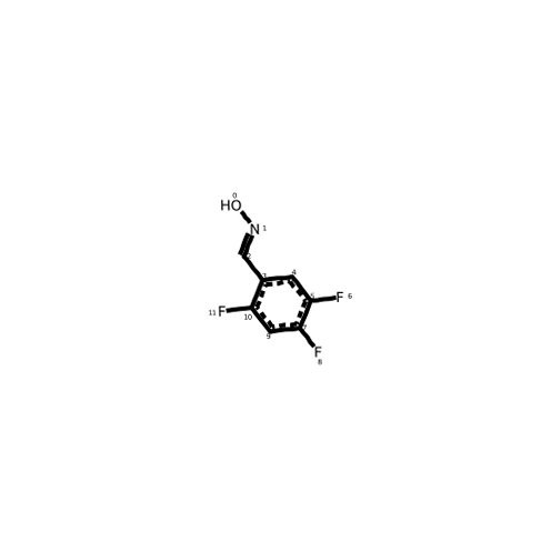 O/N=C/c1cc(F)c(F)cc1F